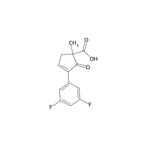 CC1(C(=O)O)CC=C(c2cc(F)cc(F)c2)C1=O